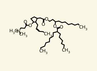 CC/C=C\CC1C(CC(=O)OCCC(CCCCCCCC)OC(=O)C(CCCCCC)CCCCCCCC)CCC1OC(=O)CCN(C)C